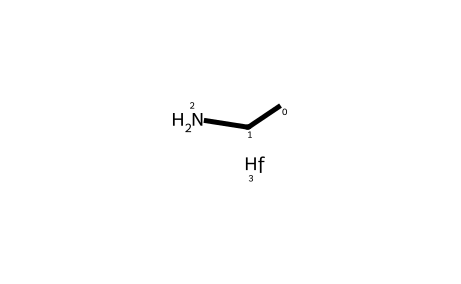 CCN.[Hf]